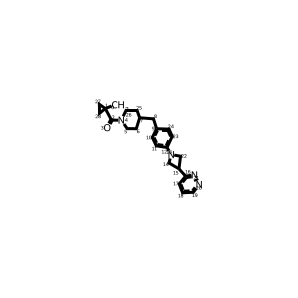 CC1(C(=O)N2CCC(Cc3ccc(N4CC(c5cccnn5)C4)cc3)CC2)CC1